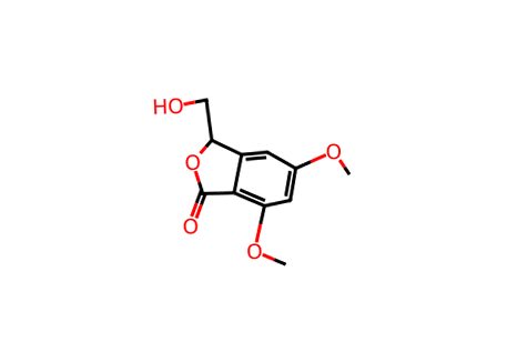 COc1cc(OC)c2c(c1)C(CO)OC2=O